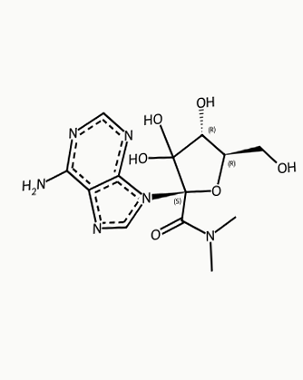 CN(C)C(=O)[C@@]1(n2cnc3c(N)ncnc32)O[C@H](CO)[C@@H](O)C1(O)O